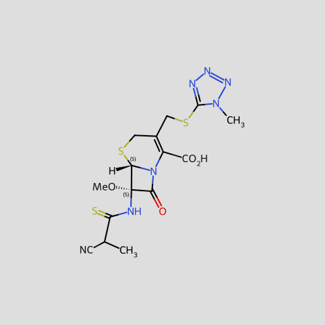 CO[C@@]1(NC(=S)C(C)C#N)C(=O)N2C(C(=O)O)=C(CSc3nnnn3C)CS[C@H]21